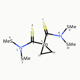 CSN(SC)[C](=S)[Zn]1([C](=S)N(SC)SC)[CH2][CH2]1